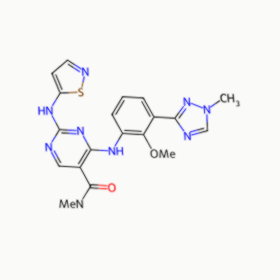 CNC(=O)c1cnc(Nc2ccns2)nc1Nc1cccc(-c2ncn(C)n2)c1OC